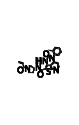 C=CC(=O)N1CC[C@@H](NC(=O)c2sc3nccc4c3c2NC(=O)N4c2ccccc2C)C1